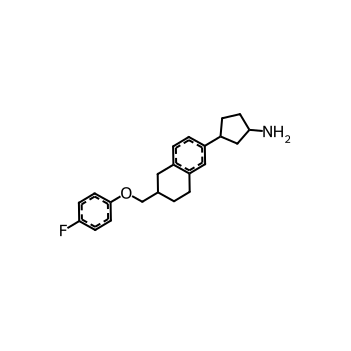 NC1CCC(c2ccc3c(c2)CCC(COc2ccc(F)cc2)C3)C1